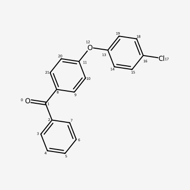 O=C(c1ccccc1)c1ccc(Oc2ccc(Cl)cc2)cc1